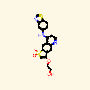 O=S1(=O)C=C(OCCO)c2cc3nccc(Nc4ccc5scnc5c4)c3cc21